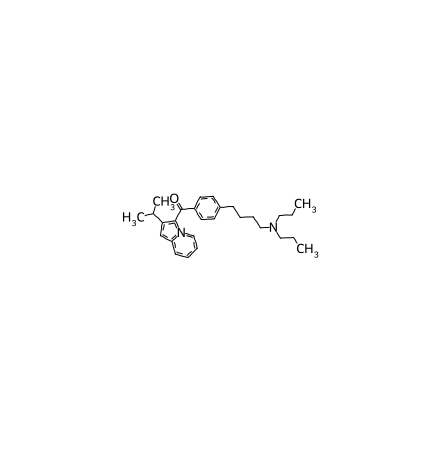 CCCN(CCC)CCCCc1ccc(C(=O)c2c(C(C)C)cc3ccccn23)cc1